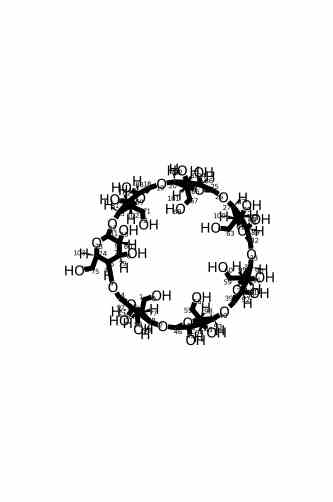 OC[C@H]1OC2O[C@H]3[C@H](O)[C@@H](O)C(O[C@H]4[C@H](O)[C@@H](O)C(O[C@H]5[C@H](O)[C@@H](O)C(O[C@H]6[C@H](O)[C@@H](O)C(O[C@H]7[C@H](O)[C@@H](O)C(O[C@H]8[C@H](O)C(O)C(O[C@H]1[C@H](O)[C@H]2O)O[C@@H]8CO)O[C@@H]7CO)O[C@@H]6CO)O[C@@H]5CO)O[C@@H]4CO)O[C@@H]3CO